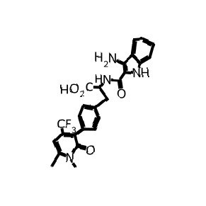 Cc1cc(C(F)(F)F)c(-c2ccc(CC(NC(=O)c3[nH]c4ccccc4c3N)C(=O)O)cc2)c(=O)n1C